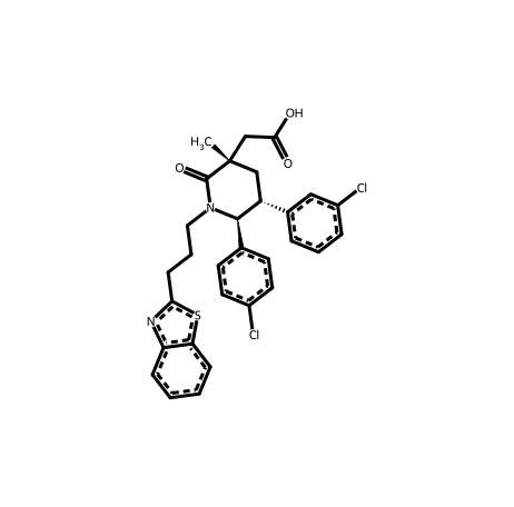 C[C@@]1(CC(=O)O)C[C@H](c2cccc(Cl)c2)[C@@H](c2ccc(Cl)cc2)N(CCCc2nc3ccccc3s2)C1=O